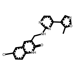 Cc1oncc1-c1ccnc(NCc2cc3cc(Cl)ccc3[nH]c2=O)n1